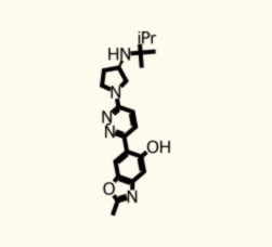 Cc1nc2cc(O)c(-c3ccc(N4CC[C@@H](NC(C)(C)C(C)C)C4)nn3)cc2o1